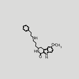 COc1ccc2[nH]c3c(c2c1)CC(CCCNCCc1ccccc1)NC3=O